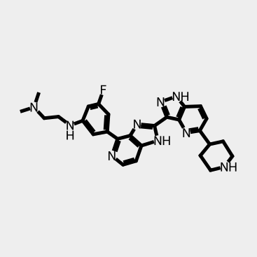 CN(C)CCNc1cc(F)cc(-c2nccc3[nH]c(-c4n[nH]c5ccc(C6CCNCC6)nc45)nc23)c1